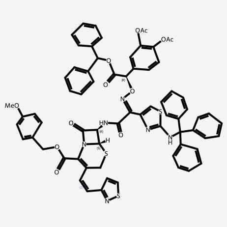 COc1ccc(COC(=O)C2=C(/C=C\c3ccsn3)CS[C@H]3[C@H](NC(=O)C(=NO[C@@H](C(=O)OC(c4ccccc4)c4ccccc4)c4ccc(OC(C)=O)c(OC(C)=O)c4)c4csc(NC(c5ccccc5)(c5ccccc5)c5ccccc5)n4)C(=O)N23)cc1